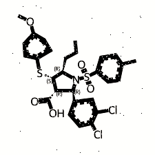 CCC[C@@H]1[C@@H](Sc2ccc(OC)cc2)[C@@H](C(=O)O)[C@H](c2ccc(Cl)c(Cl)c2)N1S(=O)(=O)c1ccc(C)cc1